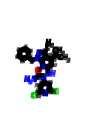 Cc1nn(Cc2ccccc2)c2nc(NN(C(N)=O)c3cc(Cl)nc(Cl)c3)cc(C(C)C)c12